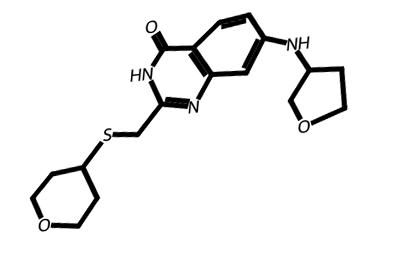 O=c1[nH]c(CSC2CCOCC2)nc2cc(NC3CCOC3)ccc12